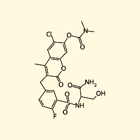 Cc1c(Cc2ccc(F)c(S(=O)(=O)NC(CO)C(N)=O)c2)c(=O)oc2cc(OC(=O)N(C)C)c(Cl)cc12